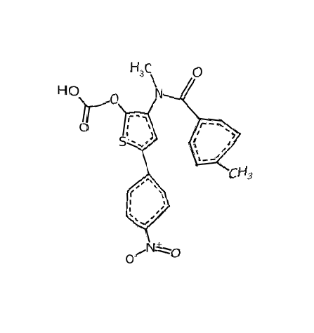 Cc1ccc(C(=O)N(C)c2cc(-c3ccc([N+](=O)[O-])cc3)sc2OC(=O)O)cc1